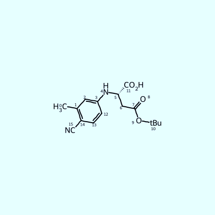 Cc1cc(N[C@@H](CC(=O)OC(C)(C)C)C(=O)O)ccc1C#N